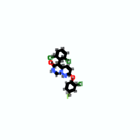 O=c1ncn2nc(Oc3ccc(F)cc3Cl)ccc2c1-c1c(Cl)cccc1Cl